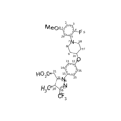 COc1ccc(F)c(N2CCC(Oc3ccc(N4N=C(C(F)(F)F)C(C)C4CC(=O)O)cc3)CC2)c1